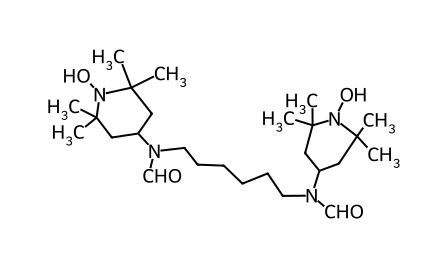 CC1(C)CC(N(C=O)CCCCCCN(C=O)C2CC(C)(C)N(O)C(C)(C)C2)CC(C)(C)N1O